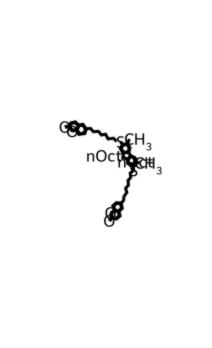 CCCCCCCCC1(CCCCCCCC)c2cc(SCCCCCCCCc3ccc4oc(=O)ccc4c3)c(C)cc2-c2cc(C)c(SCCCCCCCCc3ccc4oc(=O)ccc4c3)cc21